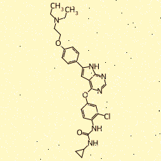 CCN(CC)CCOc1ccc(-c2cc3c(Oc4ccc(NC(=O)NC5CC5)c(Cl)c4)ncnc3[nH]2)cc1